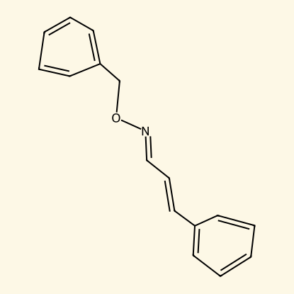 C(=C\c1ccccc1)/C=N/OCc1ccccc1